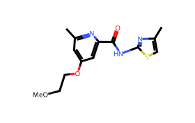 COCCOc1cc(C)nc(C(=O)Nc2nc(C)cs2)c1